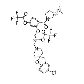 CN(C)[C@H]1CCN(C(=O)c2ccc(OC(=O)C(F)(F)F)cc2OC[C@H](CN2CCC3(CC2)Cc2cc(Cl)ccc2O3)OC(=O)C(F)(F)F)C1